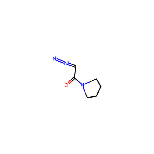 [N-]=[N+]=CC(=O)N1CCCC1